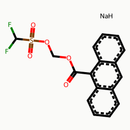 O=C(OCOS(=O)(=O)C(F)F)c1c2ccccc2cc2ccccc12.[NaH]